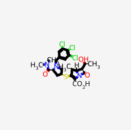 C[C@@H](O)[C@H]1C(=O)N2C(C(=O)O)=C(S[C@H]3C[C@@H](C(=O)N(C)C)N(Cc4cc(Cl)c(Cl)c(Cl)c4)C3)[C@H](C)[C@H]12